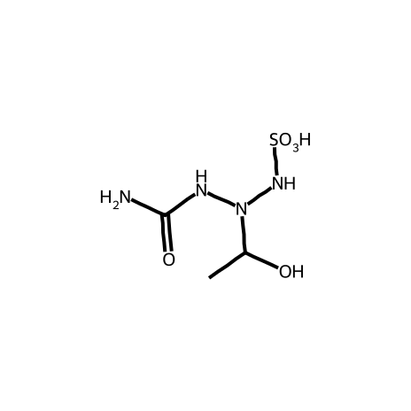 CC(O)N(NC(N)=O)NS(=O)(=O)O